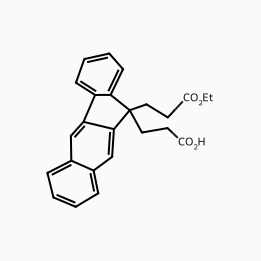 CCOC(=O)CCC1(CCC(=O)O)c2ccccc2-c2cc3ccccc3cc21